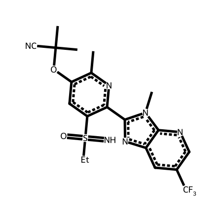 CCS(=N)(=O)c1cc(OC(C)(C)C#N)c(C)nc1-c1nc2cc(C(F)(F)F)cnc2n1C